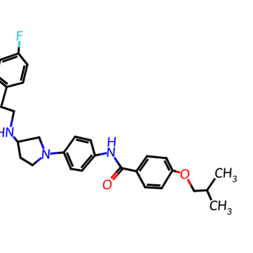 CC(C)COc1ccc(C(=O)Nc2ccc(N3CCC(NCCc4ccc(F)cc4)C3)cc2)cc1